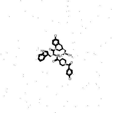 CN(C)C[C@@H]1Cc2cc(Cl)ccc2N(C(=O)[C@@H](Cc2c[nH]c3ccccc23)NC(=O)C2CCN(C(=O)c3ccc(Cl)cc3)CC2)C1